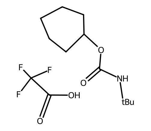 CC(C)(C)NC(=O)OC1CCCCC1.O=C(O)C(F)(F)F